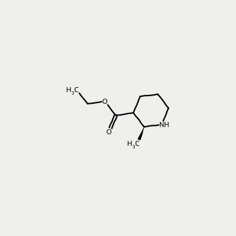 CCOC(=O)C1CCCN[C@H]1C